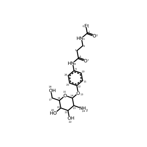 CCC(=O)NCCC(=O)Nc1ccc(OC2OC(CO)C(O)C(O)C2N)cc1